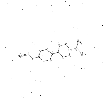 C=CCN1CCN(C2CCN(C(C)C)CC2)CC1